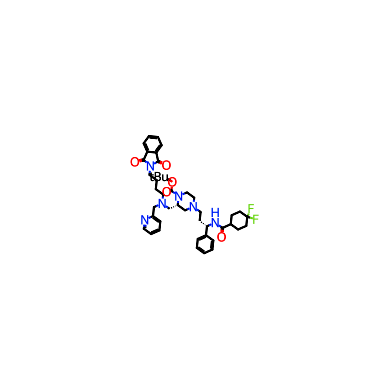 CC(C)(C)OC(=O)N1CCN(CC[C@H](NC(=O)C2CCC(F)(F)CC2)c2ccccc2)C[C@@H]1CN(CCCCN1C(=O)c2ccccc2C1=O)Cc1ccccn1